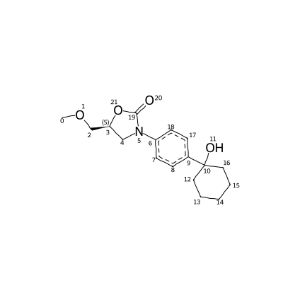 COC[C@@H]1CN(c2ccc(C3(O)CCCCC3)cc2)C(=O)O1